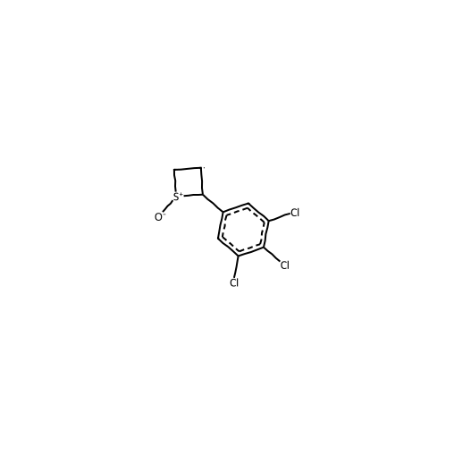 [O-][S+]1C[CH]C1c1cc(Cl)c(Cl)c(Cl)c1